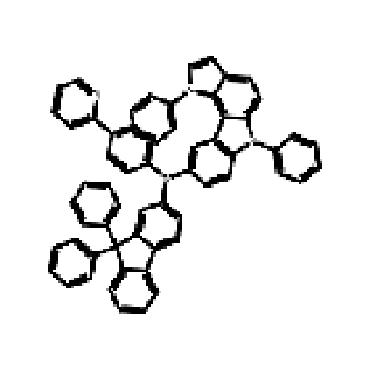 c1ccc(-n2ccc3ccc4c(c5cc(N(c6ccc(-c7ccccn7)cc6)c6ccc7c(c6)C(c6ccccc6)(c6ccccc6)c6ccccc6-7)ccc5n4-c4ccccc4)c32)cc1